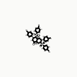 Cc1ccc([C@@H]2C[C@@H]3C(S(=O)(=O)c4ccc(C)cc4)[C@H](c4ccc(C)cc4)CC(=O)[C@@H]3CC2S(=O)(=O)c2ccc(C)cc2)cc1